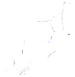 CC1=C2C(C)C2[C@@H](C)[C@H]1N1CCN(c2c(C)cc(C)cc2C)C1